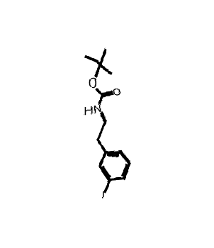 CC(C)(C)OC(=O)NCCc1cccc(I)c1